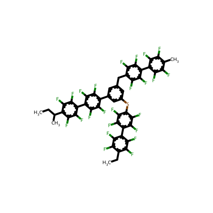 CCc1c(F)c(F)c(-c2c(F)c(F)c(Sc3cc(Cc4c(F)c(F)c(-c5c(F)c(F)c(C)c(F)c5F)c(F)c4F)cc(-c4c(F)c(F)c(-c5c(F)c(F)c(C(C)CC)c(F)c5F)c(F)c4F)c3)c(F)c2F)c(F)c1F